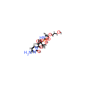 COCCCOC(=O)[C@H](C)NP1(=O)OC[C@H]2O[C@@H](n3ccc(N)nc3=O)[C@](C)(O)[C@@H]2O1